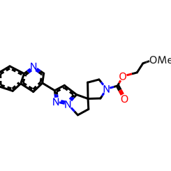 COCCOC(=O)N1CCC2(CCn3nc(-c4cnc5ccccc5c4)cc32)C1